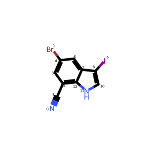 N#Cc1cc(Br)cc2c(I)c[nH]c12